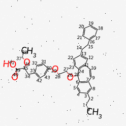 CCCc1ccc2c(c1)C=Cc1cc(CCc3ccccc3)ccc1C2OCCOc1ccc(CC(OCC)C(=O)O)cc1